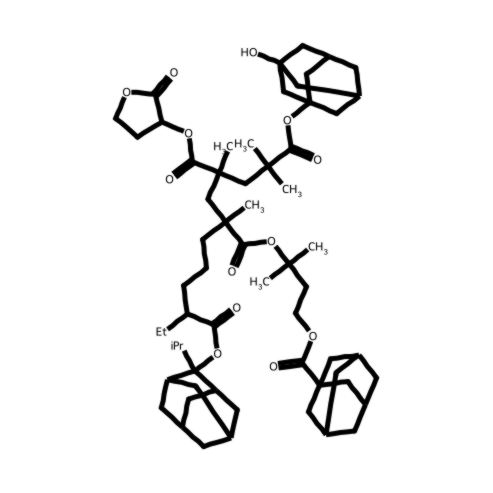 CCC(CCCC(C)(CC(C)(CC(C)(C)C(=O)OC12CC3CC(CC(O)(C3)C1)C2)C(=O)OC1CCOC1=O)C(=O)OC(C)(C)CCOC(=O)C12CC3CC(CC(C3)C1)C2)C(=O)OC1(C(C)C)C2CC3CC(C2)CC1C3